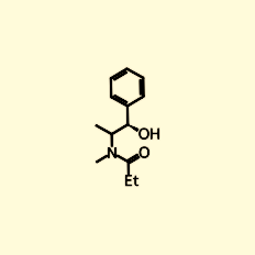 CCC(=O)N(C)C(C)[C@H](O)c1ccccc1